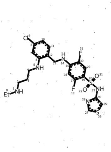 CCNCCCNc1cc(Cl)ccc1CNc1cc(F)c(S(=O)(=O)Nc2cscn2)cc1F